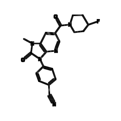 Cn1c(=O)n(-c2ccc(C#N)cc2)c2ncc(C(=O)N3CCC(F)CC3)cc21